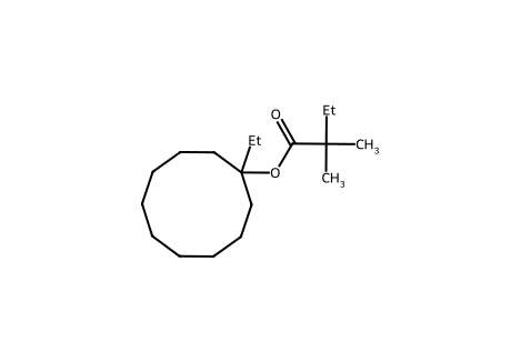 CCC1(OC(=O)C(C)(C)CC)CCCCCCCCC1